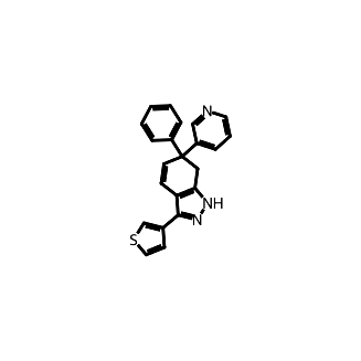 C1=CC(c2ccccc2)(c2cccnc2)Cc2[nH]nc(-c3ccsc3)c21